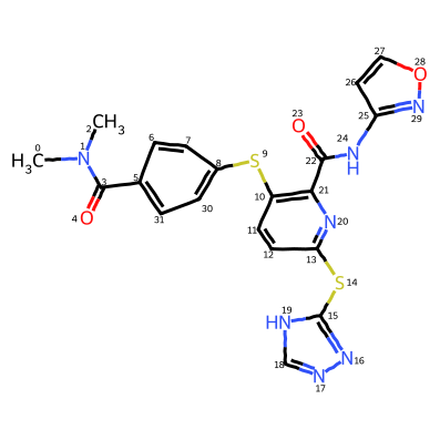 CN(C)C(=O)c1ccc(Sc2ccc(Sc3nnc[nH]3)nc2C(=O)Nc2ccon2)cc1